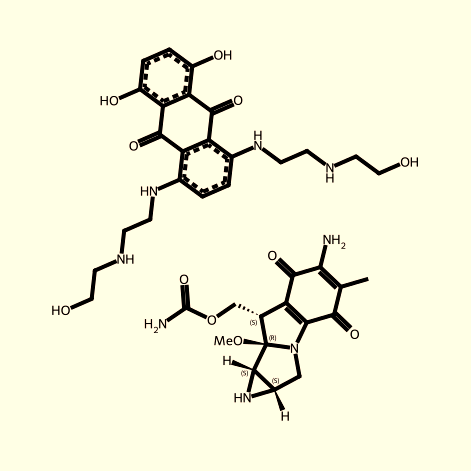 CO[C@@]12[C@H](COC(N)=O)C3=C(C(=O)C(C)=C(N)C3=O)N1C[C@@H]1N[C@@H]12.O=C1c2c(O)ccc(O)c2C(=O)c2c(NCCNCCO)ccc(NCCNCCO)c21